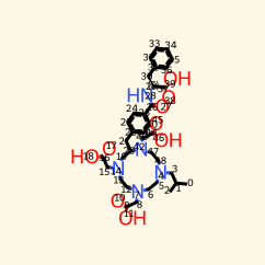 CC(C)CN1CCN(CC(=O)O)CCN(CC(=O)O)CC(Cc2ccc(C(=O)N[C@@H](Cc3ccccc3)C(=O)O)cc2)N(CC(=O)O)CC1